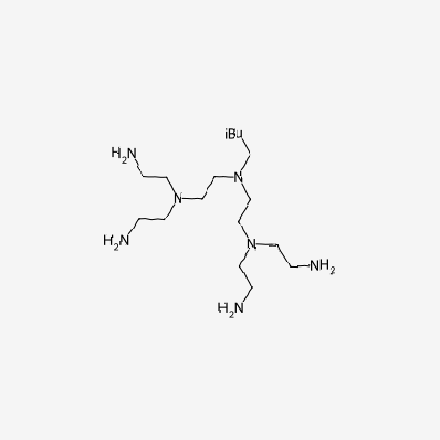 CCC(C)CN(CCN(CCN)CCN)CCN(CCN)CCN